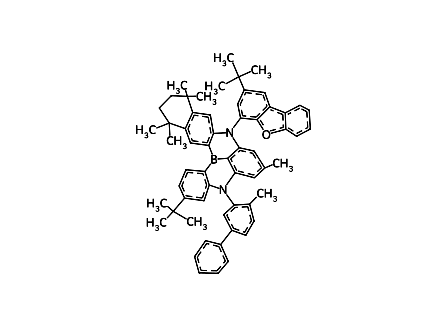 Cc1cc2c3c(c1)N(c1cc(C(C)(C)C)cc4c1oc1ccccc14)c1cc4c(cc1B3c1ccc(C(C)(C)C)cc1N2c1cc(-c2ccccc2)ccc1C)C(C)(C)CCC4(C)C